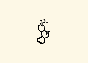 CCCCN1CCC2c3ccccc3CCC2C1.Cl